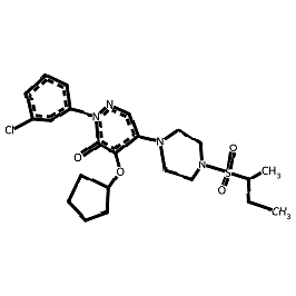 CCC(C)S(=O)(=O)N1CCN(c2cnn(-c3cccc(Cl)c3)c(=O)c2OC2CCCC2)CC1